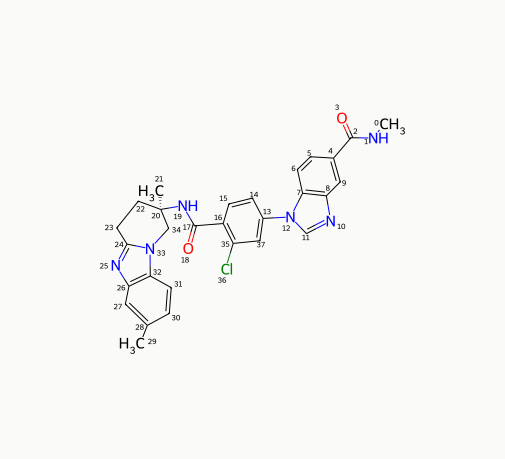 CNC(=O)c1ccc2c(c1)ncn2-c1ccc(C(=O)N[C@]2(C)CCc3nc4cc(C)ccc4n3C2)c(Cl)c1